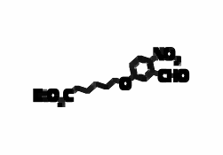 CCOC(=O)CCCCCOc1ccc([N+](=O)[O-])c(C=O)c1